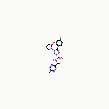 Cc1cnc(C(C)NC(=O)N2C[C@@H](N3CCCC3=O)C(c3ccc(F)cc3)=N2)cn1